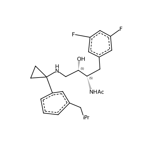 CC(=O)N[C@@H](Cc1cc(F)cc(F)c1)[C@@H](O)CNC1(c2cccc(CC(C)C)c2)CC1